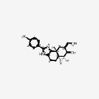 CC(C)c1ccc(-c2nc3c([nH]2)CC[C@@H]2[C@@H](C)C(=O)/C(=C\O)C[C@@]32C)cc1